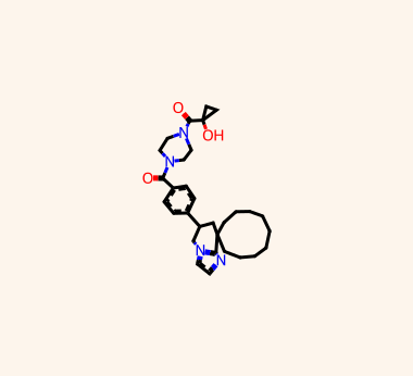 O=C(c1ccc(C2Cn3ccnc3C3(CCCCCCCCC3)C2)cc1)N1CCN(C(=O)C2(O)CC2)CC1